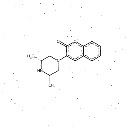 C[C@@H]1CN(c2cc3ccccc3oc2=O)C[C@H](C)N1